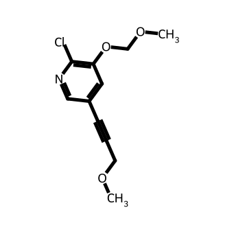 COCC#Cc1cnc(Cl)c(OCOC)c1